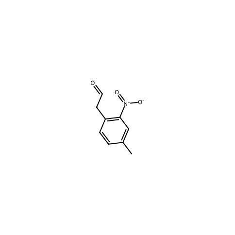 Cc1ccc(CC=O)c([N+](=O)[O-])c1